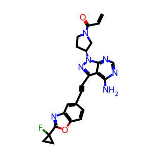 C=CC(=O)N1CC[C@H](n2nc(C#Cc3ccc4oc(C5(F)CC5)nc4c3)c3c(N)ncnc32)C1